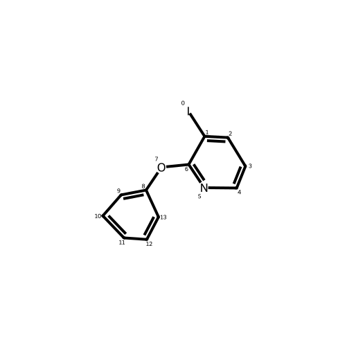 Ic1cccnc1Oc1ccccc1